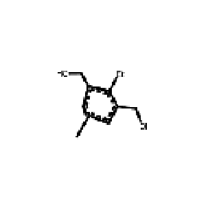 CCc1c(CO)cc(C)cc1CO